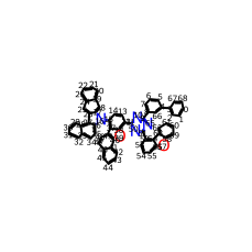 c1ccc(-c2cccc(-c3nc(-c4ccc(-n5c6cc7ccccc7cc6c6c7ccccc7ccc65)c5c4oc4c6ccccc6ccc45)nc(-c4cccc5oc6ccccc6c45)n3)c2)cc1